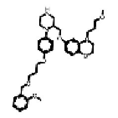 COCCCN1CCOc2ccc(OCC3CNCCN3c3ccc(OCCCOCc4ccccc4OC)cc3)cc21